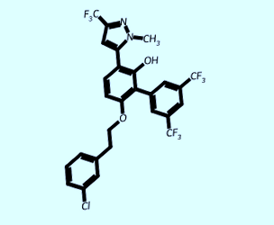 Cn1nc(C(F)(F)F)cc1-c1ccc(OCCc2cccc(Cl)c2)c(-c2cc(C(F)(F)F)cc(C(F)(F)F)c2)c1O